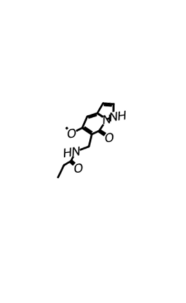 CCC(=O)NCc1c(OC)cc2cc[nH]n2c1=O